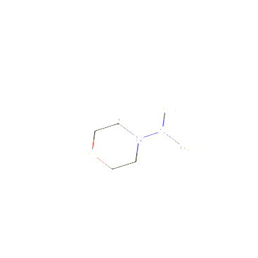 CCCCN(CCCC)N1CCOCC1